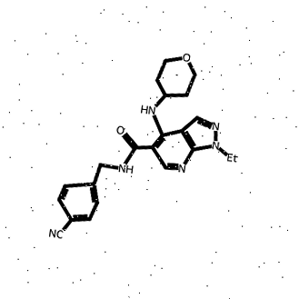 CCn1ncc2c(NC3CCOCC3)c(C(=O)NCc3ccc(C#N)cc3)cnc21